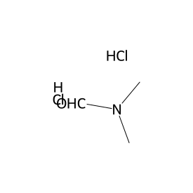 CN(C)C=O.Cl.Cl